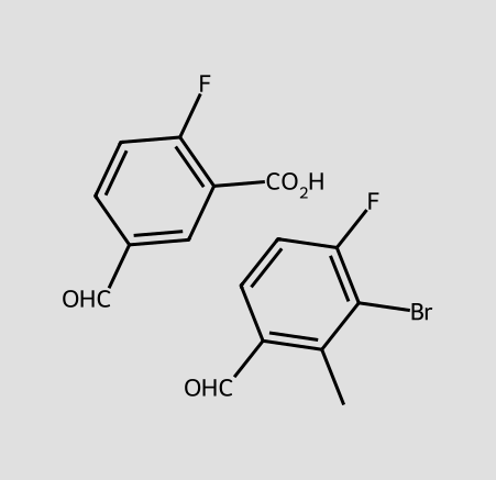 Cc1c(C=O)ccc(F)c1Br.O=Cc1ccc(F)c(C(=O)O)c1